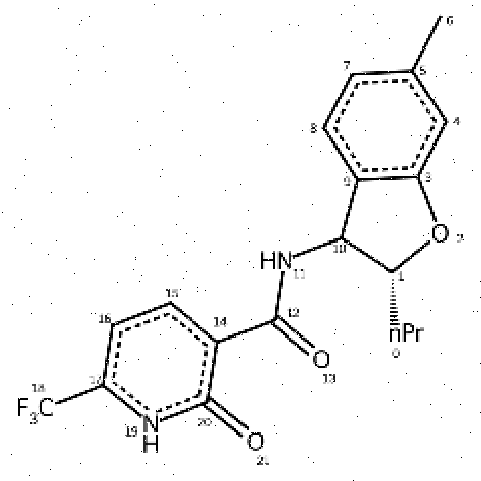 CCC[C@H]1Oc2cc(C)ccc2C1NC(=O)c1ccc(C(F)(F)F)[nH]c1=O